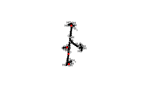 CC(=O)NC1[C@H](OCCCCCCCCC(=O)NCCCN(CCCCN(CCCNC(=O)CCCCCCCCO[C@@H]2OC(CO)[C@H](O)[C@H](O)C2NC(C)=O)C(=O)C(O)COP(C)(C)=O)C(=O)CCCCCCCCO[C@@H]2OC(CO)[C@H](O)[C@H](O)C2NC(C)=O)OC(CO)[C@H](O)[C@@H]1O